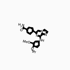 COc1cc(Nc2nc(-c3ccc(C(N)=O)cc3)cn3ccnc23)ccc1OC(C)C